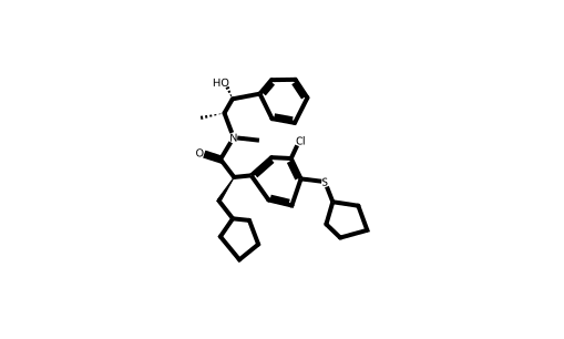 C[C@H]([C@H](O)c1ccccc1)N(C)C(=O)[C@H](CC1CCCC1)c1ccc(SC2CCCC2)c(Cl)c1